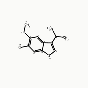 COc1cc2c(C(C)N)csc2cc1Cl